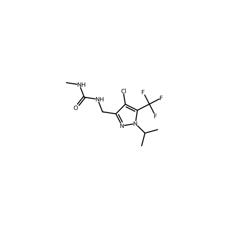 CNC(=O)NCc1nn(C(C)C)c(C(F)(F)F)c1Cl